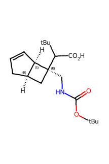 CC(C)(C)OC(=O)NC[C@]1(C(C(=O)O)C(C)(C)C)C[C@H]2CC=C[C@H]21